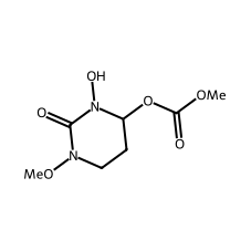 COC(=O)OC1CCN(OC)C(=O)N1O